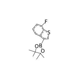 CC1(C)OB(c2csc3c(F)cccc23)OC1(C)C